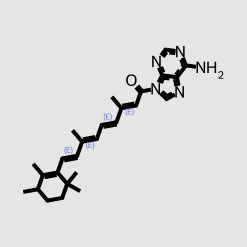 CC1=C(/C=C/C(C)=C/C=C/C(C)=C/C(=O)n2cnc3c(N)ncnc32)C(C)(C)CCC1C